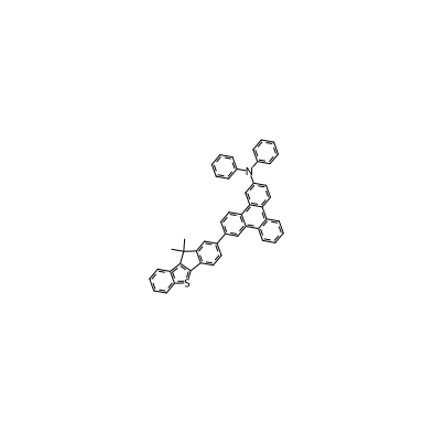 CC1(C)c2cc(-c3ccc4c(c3)c3ccccc3c3ccc(N(c5ccccc5)c5ccccc5)cc34)ccc2-c2sc3ccccc3c21